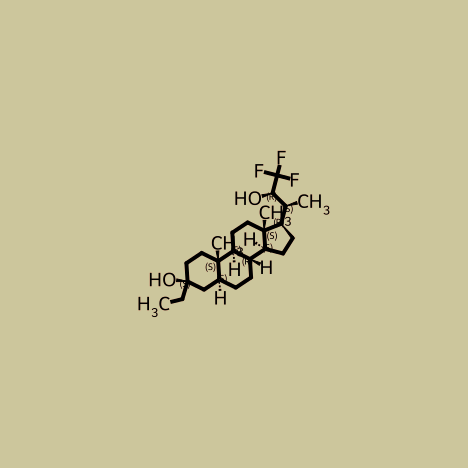 CC[C@]1(O)CC[C@@]2(C)[C@@H](CC[C@@H]3[C@@H]2CC[C@]2(C)[C@@H]([C@H](C)[C@@H](O)C(F)(F)F)CC[C@@H]32)C1